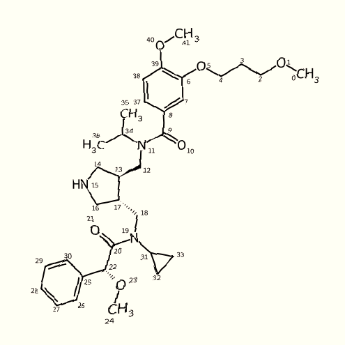 COCCCOc1cc(C(=O)N(C[C@@H]2CNC[C@H]2CN(C(=O)[C@H](OC)c2ccccc2)C2CC2)C(C)C)ccc1OC